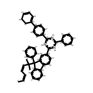 C/C=C\C=C/C(C)(C)C1(c2ccccc2)c2ccccc2-c2ccc(-c3nc(-c4ccccc4)nc(-c4ccc(C5=CC=CCC5)cc4)n3)cc21